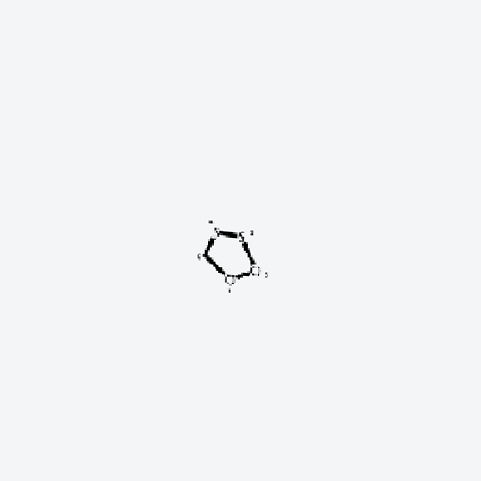 C1OOSS1